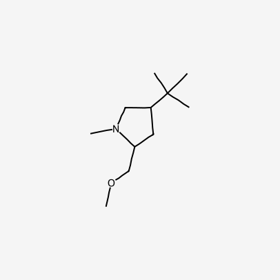 COCC1CC(C(C)(C)C)CN1C